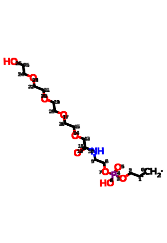 [CH2][CH]COP(=O)(O)OCCNC(=O)COCCOCCOCCOCCO